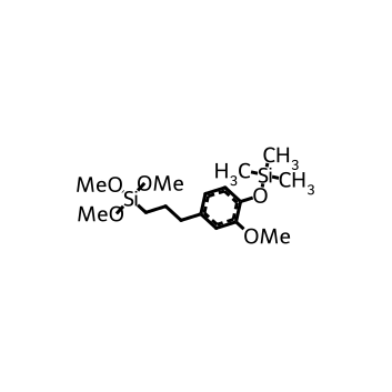 COc1cc(CCC[Si](OC)(OC)OC)ccc1O[Si](C)(C)C